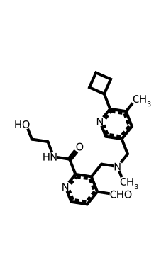 Cc1cc(CN(C)Cc2c(C=O)ccnc2C(=O)NCCO)cnc1C1CCC1